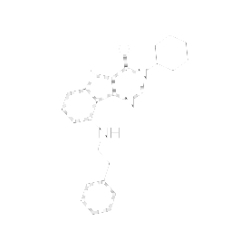 O=c1c2sc3cccc(NCCc4ccccc4)c3c2ncn1C1CCCCC1